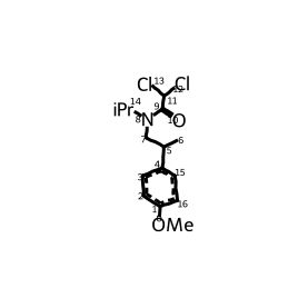 COc1ccc(C(C)CN(C(=O)C(Cl)Cl)C(C)C)cc1